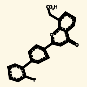 O=C(O)Cc1cccc2c(=O)cc(-c3ccc(-c4ccccc4F)cc3)oc12